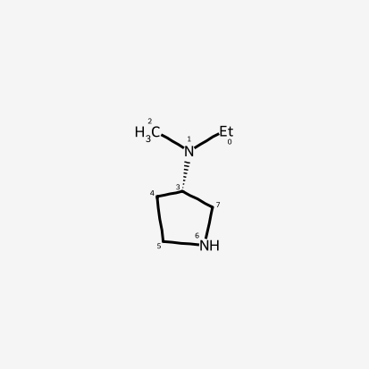 CCN(C)[C@H]1CCNC1